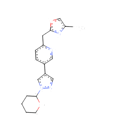 CCOC(=O)c1coc(Cc2ccc(-c3cnn(C4CCCCO4)c3)cn2)n1